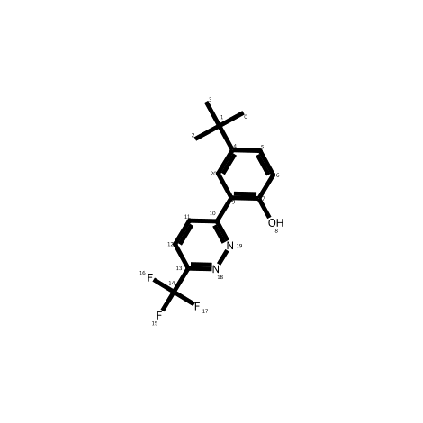 CC(C)(C)c1ccc(O)c(-c2ccc(C(F)(F)F)nn2)c1